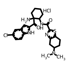 CN(C)C1CCc2sc(C(=O)NC3CCCCC3(N)C(=O)c3cc4cc(Cl)ccc4[nH]3)nc2C1.Cl